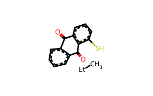 CCC.O=C1c2ccccc2C(=O)c2c(S)cccc21